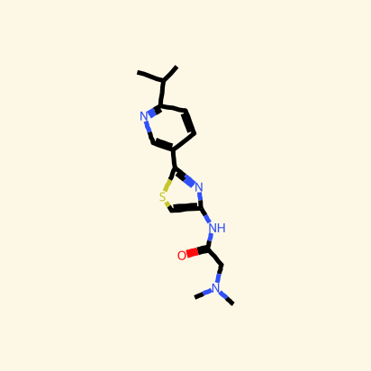 CC(C)c1ccc(-c2nc(NC(=O)CN(C)C)cs2)cn1